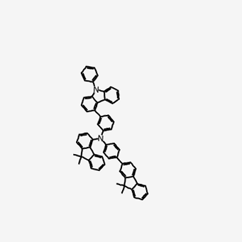 CC1(C)c2ccccc2-c2ccc(-c3ccc(N(c4cccc(-c5cccc6c5c5ccccc5n6-c5ccccc5)c4)c4cccc5c4-c4ccccc4C5(C)C)cc3)cc21